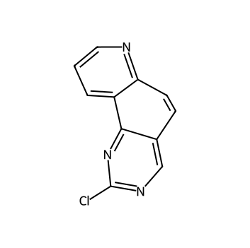 Clc1ncc2ccc3ncccc3c2n1